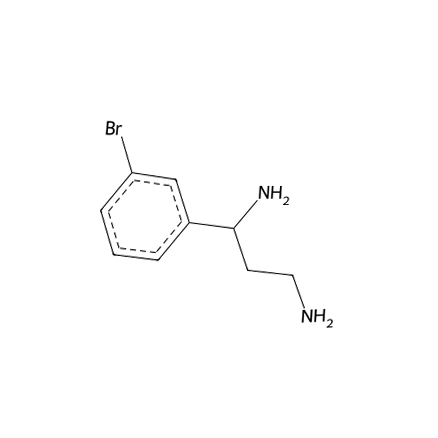 NCCC(N)c1cccc(Br)c1